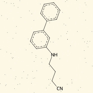 N#CCCCNc1cccc(-c2ccccc2)c1